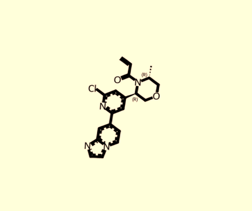 C=CC(=O)N1[C@H](C)COC[C@H]1c1cc(Cl)nc(-c2ccn3ccnc3c2)c1